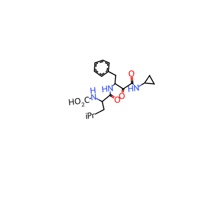 CC(C)CC(NC(=O)O)C(=O)NC(Cc1ccccc1)C(=O)C(=O)NC1CC1